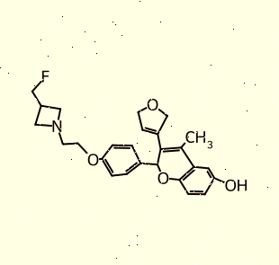 CC1=C(C2=CCOC2)C(c2ccc(OCCN3CC(CF)C3)cc2)Oc2ccc(O)cc21